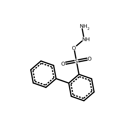 NNOS(=O)(=O)c1ccccc1-c1ccccc1